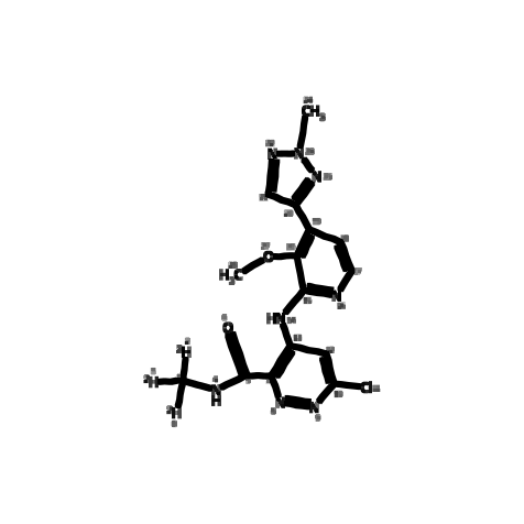 [2H]C([2H])([2H])NC(=O)c1nnc(Cl)cc1Nc1nccc(-c2cnn(C)n2)c1OC